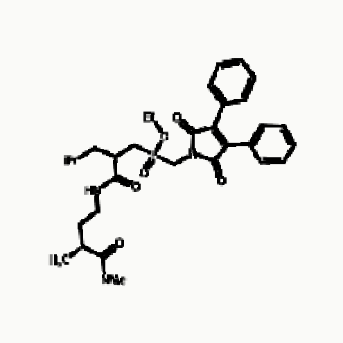 CCOP(=O)(CC(CC(C)C)C(=O)NCC[C@H](C)C(=O)NC)CN1C(=O)C(c2ccccc2)=C(c2ccccc2)C1=O